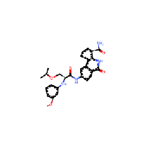 COc1cccc(N[C@@H](COC(C)C)C(=O)Nc2ccc3c(=O)[nH]c4c(C(N)=O)cccc4c3c2)c1